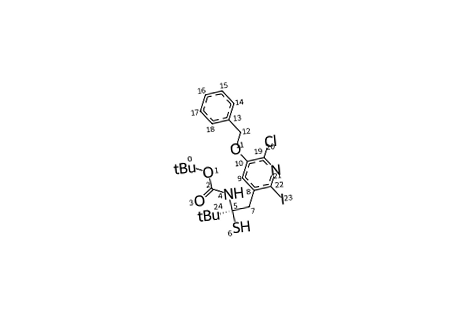 CC(C)(C)OC(=O)N[C@](S)(Cc1cc(OCc2ccccc2)c(Cl)nc1I)C(C)(C)C